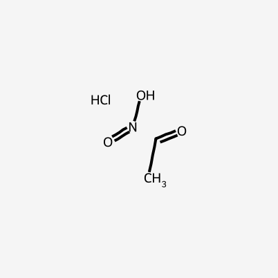 CC=O.Cl.O=NO